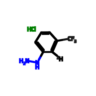 Cl.[2H]c1c(NN)cccc1C(F)(F)F